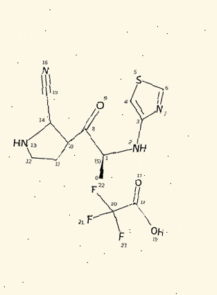 C[C@H](Nc1cscn1)C(=O)C1CCNC1C#N.O=C(O)C(F)(F)F